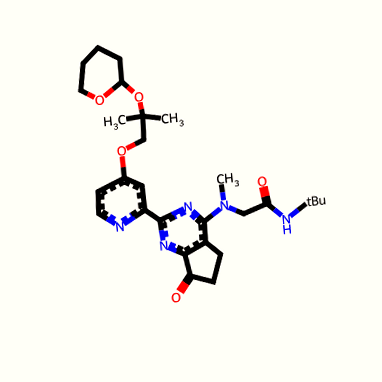 CN(CC(=O)NC(C)(C)C)c1nc(-c2cc(OCC(C)(C)OC3CCCCO3)ccn2)nc2c1CCC2=O